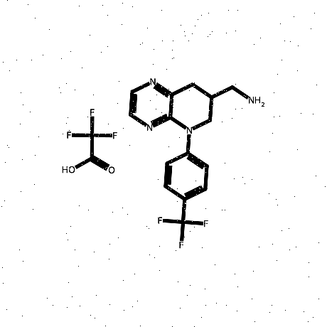 NCC1Cc2nccnc2N(c2ccc(C(F)(F)F)cc2)C1.O=C(O)C(F)(F)F